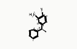 C[C@@H](c1ccccc1)c1ccc(F)c(N)c1